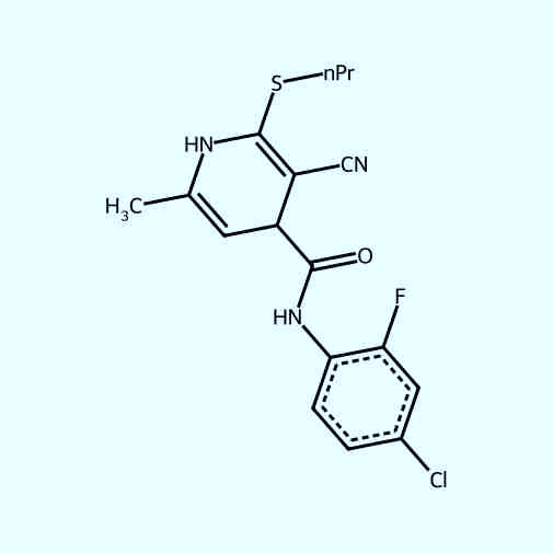 CCCSC1=C(C#N)C(C(=O)Nc2ccc(Cl)cc2F)C=C(C)N1